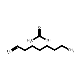 C=CCCCCCCC.CC(=O)O